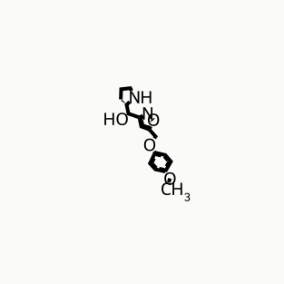 COc1ccc(OCc2cc([C@@H](O)[C@@H]3CCCN3)no2)cc1